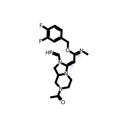 C/N=C(\C=C1/N(C=P)CC2CN(C(C)=O)CCN12)OCc1ccc(F)c(F)c1